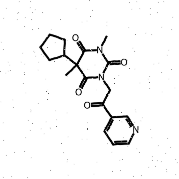 CN1C(=O)N(CC(=O)c2cccnc2)C(=O)C(C)(C2CCCC2)C1=O